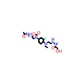 CCN(CCNN(C)C(=O)CO)c1ccc(N2C[C@H](CNC(C)=O)OC2=O)cc1F